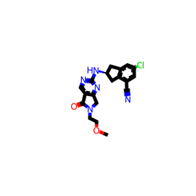 COCCN1Cc2nc(N[C@H]3Cc4cc(Cl)cc(C#N)c4C3)ncc2C1=O